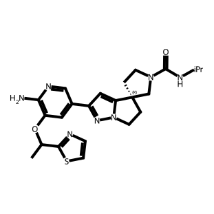 CC(C)NC(=O)N1CC[C@@]2(CCn3nc(-c4cnc(N)c(OC(C)c5nccs5)c4)cc32)C1